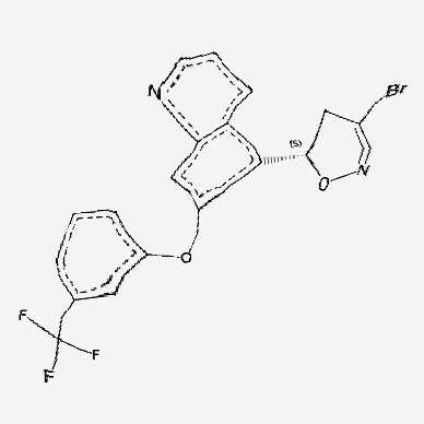 FC(F)(F)c1cccc(Oc2cc([C@@H]3CC(Br)=NO3)c3cccnc3c2)c1